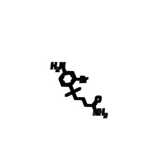 CC(C)(CCCC(N)=O)c1ccc(N)cc1Br